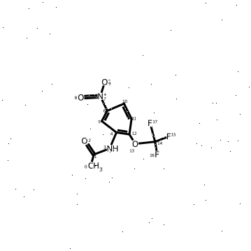 CC(=O)Nc1cc([N+](=O)[O-])ccc1OC(F)(F)F